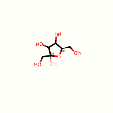 B[C@]1(CO)O[C@H](CO)C(O)C1O